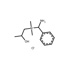 CC(O)C[N+](C)(C)C(N)c1ccccc1.[Cl-]